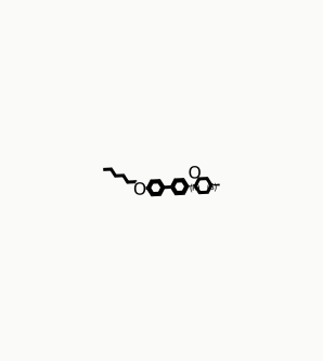 CCCCCCOc1ccc(-c2ccc([C@H]3CC[C@H](C)CC3=O)cc2)cc1